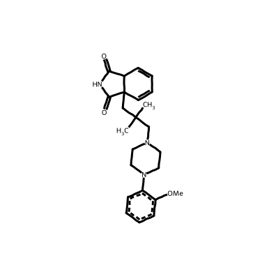 COc1ccccc1N1CCN(CC(C)(C)CC23C=CC=CC2C(=O)NC3=O)CC1